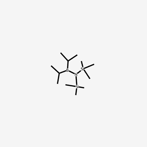 CC(C)B(C(C)C)N([Si](C)(C)C)[Si](C)(C)C